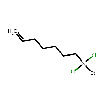 C=CCCCCC[Si](Cl)(Cl)CC